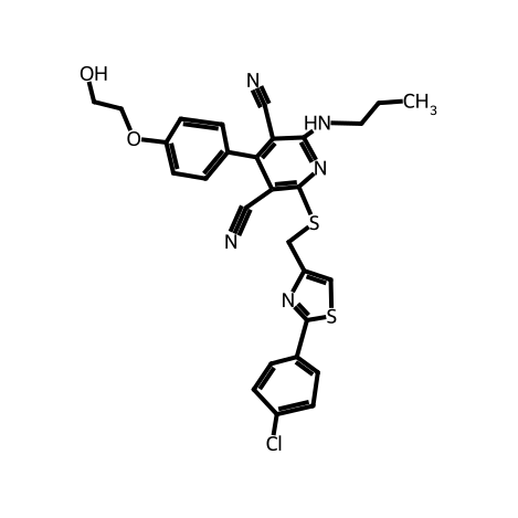 CCCNc1nc(SCc2csc(-c3ccc(Cl)cc3)n2)c(C#N)c(-c2ccc(OCCO)cc2)c1C#N